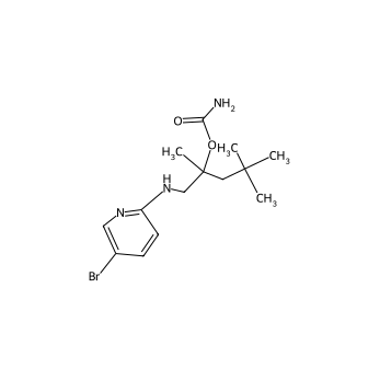 CC(C)(C)CC(C)(CNc1ccc(Br)cn1)OC(N)=O